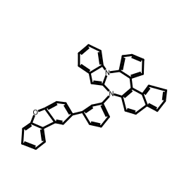 c1cc(-c2ccc3oc4ccccc4c3c2)cc(N2c3ccc4ccccc4c3-c3ccccc3-n3c2cc2ccccc23)c1